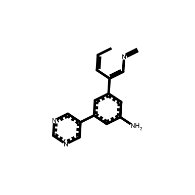 C=N/C=C(\C=C/C)c1cc(N)cc(-c2cncnc2)c1